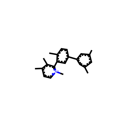 Cc1cc(C)cc(-c2ccc(C)c(-c3c(C)c(C)cc[n+]3C)c2)c1